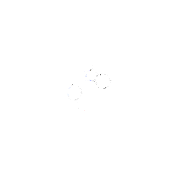 Cc1nn(-c2cncc(C(O)C(F)(F)F)c2)c2ccccc12